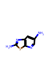 Nc1cnc2sc(N)nc2c1